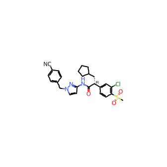 CS(=O)(=O)c1ccc([C@@H](CC2CCCC2)C(=O)Nc2ccn(Cc3ccc(C#N)cc3)n2)cc1Cl